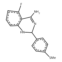 CSc1ccc(C2N=C(N)c3c(F)cccc3N2)cc1